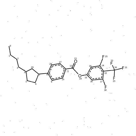 CCCCC1CCC(c2ccc(C(=O)Oc3cc(F)c(C(F)(F)F)c(F)c3)cc2)C1